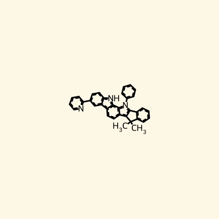 CC1(C)c2ccccc2-c2c1c1ccc3c4cc(-c5ccccn5)ccc4[nH]c3c1n2-c1ccccc1